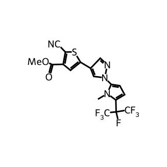 COC(=O)c1cc(-c2cnn(-c3ccc(C(F)(C(F)(F)F)C(F)(F)F)n3C)c2)sc1C#N